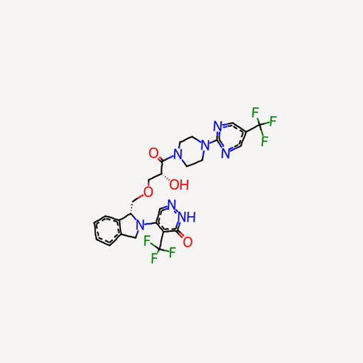 O=C([C@H](O)COC[C@H]1c2ccccc2CN1c1cn[nH]c(=O)c1C(F)(F)F)N1CCN(c2ncc(C(F)(F)F)cn2)CC1